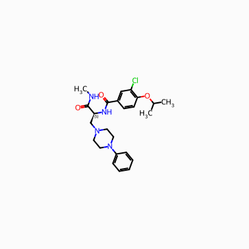 CNC(=O)[C@H](CN1CCN(c2ccccc2)CC1)NC(=O)c1ccc(OC(C)C)c(Cl)c1